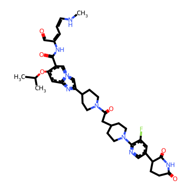 CN/C=C\C=C(/C=O)NC(=O)c1cn2cc(C3CCN(C(=O)CC4CCN(c5ncc(C6CCC(=O)NC6=O)cc5F)CC4)CC3)nc2cc1OC(C)C